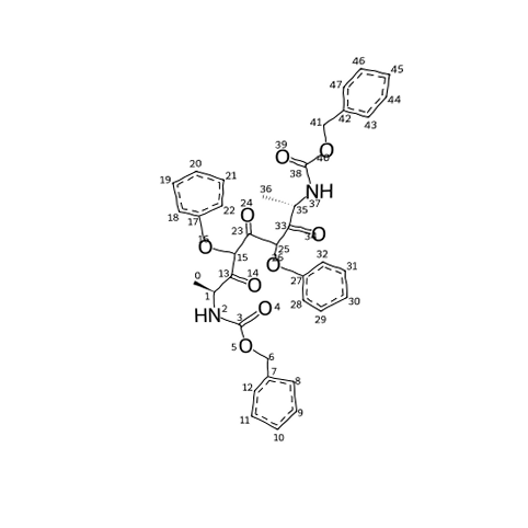 C[C@H](NC(=O)OCc1ccccc1)C(=O)C(Oc1ccccc1)C(=O)C(Oc1ccccc1)C(=O)[C@H](C)NC(=O)OCc1ccccc1